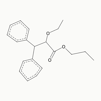 CCCOC(=O)C(OCC)C(c1ccccc1)c1ccccc1